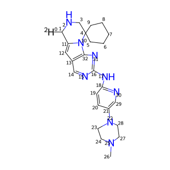 [2H]C1NCC2(CCCCC2)n2c1cc1cnc(Nc3ccc(N4CCN(C)CC4)cn3)nc12